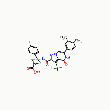 Cc1ccc(-c2cn3nc(C(=O)NC4(c5ccc(F)cc5)CN(C(=O)O)C4)c(C(F)(F)F)c3c(=O)[nH]2)cc1C